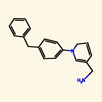 NCC1=CN(c2ccc(Cc3ccccc3)cc2)CC=C1